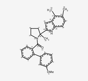 COc1cccc(-c2ccccc2C(=O)N2CCCC2(C)c2nc3c(C)c(C)ccc3[nH]2)c1